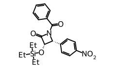 CC[Si](CC)(CC)O[C@@H]1C(=O)N(C(=O)c2ccccc2)[C@@H]1c1ccc([N+](=O)[O-])cc1